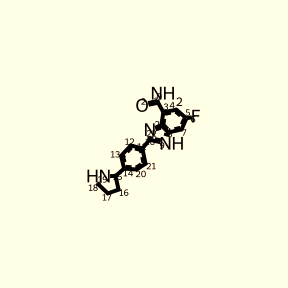 NC(=O)c1cc(F)cc2[nH]c(-c3ccc(C4CCCN4)cc3)nc12